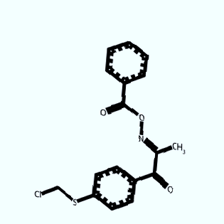 C/C(=N\OC(=O)c1ccccc1)C(=O)c1ccc(SCCl)cc1